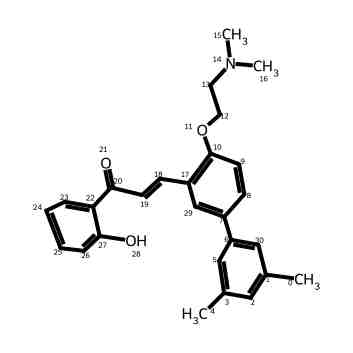 Cc1cc(C)cc(-c2ccc(OCCN(C)C)c(C=CC(=O)c3ccccc3O)c2)c1